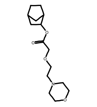 O=C(COCCN1CCOCC1)OC1CC2CCC1C2